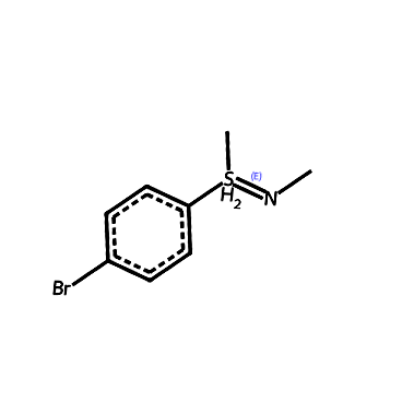 C/N=[SH2](\C)c1ccc(Br)cc1